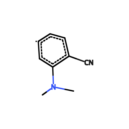 CN(C)c1c[c]ccc1C#N